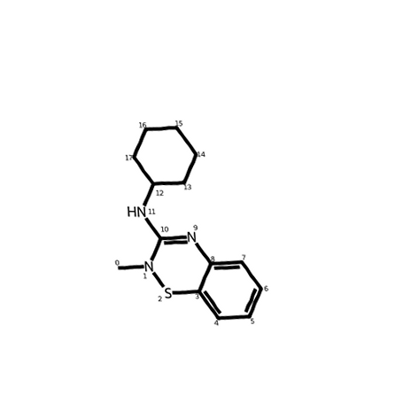 CN1Sc2ccccc2N=C1NC1CCCCC1